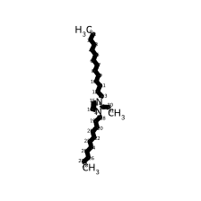 CCCCCCCCCCCCCCN1C=CN(CCCCCCCCCCC)C1CC